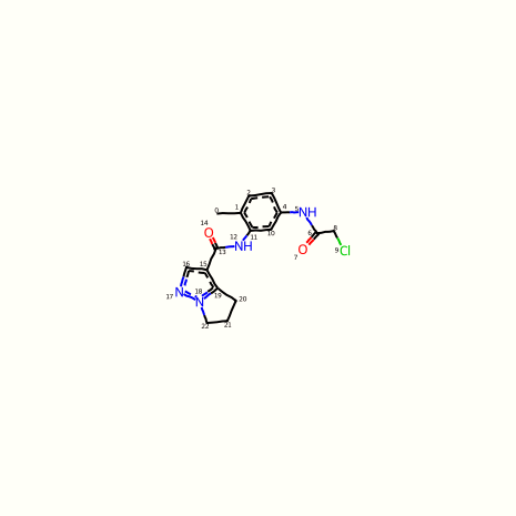 Cc1ccc(NC(=O)CCl)cc1NC(=O)c1cnn2c1CCC2